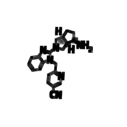 N#Cc1ccc(Cn2c(N3C[C@H]4CC[C@@H](N)[C@H]4C3)nc3ccccc32)nc1